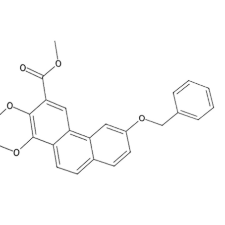 COC(=O)c1cc2c(ccc3ccc(OCc4ccccc4)cc32)c(OC)c1OC